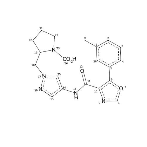 Cc1cccc(-c2ocnc2C(=O)Nc2cnn(CC3CCCN3C(=O)O)c2)c1